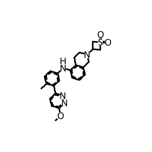 COc1ccc(-c2cc(Nc3cccc4c3CCN(C3CS(=O)(=O)C3)C4)ccc2C)nn1